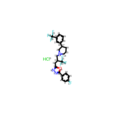 Cl.Fc1ccc(-c2nnc(CC(CN3CCCC(c4cccc(C(F)(F)F)c4)C3)C(F)(F)F)o2)cc1